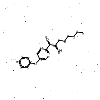 C=C(/C=C\C(=C/C)Sc1ccccc1)C(=O)C(=N)CCCCCC